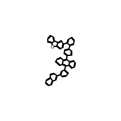 c1cc(-c2ccc3ccccc3c2)cc(-c2c3ccccc3c(-c3ccc(-c4ccccc4-c4ccc5oc6ccccc6c5c4)cc3)c3ccccc23)c1